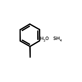 Cc1ccccc1.O.[SiH4]